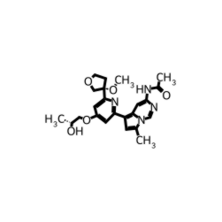 CO[C@@]1(c2cc(OC[C@@H](C)O)cc(-c3cc(C)n4cnc(NC(C)=O)cc34)n2)CCOC1